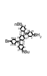 Bc1ccc(N(c2ccc(CCCC)cc2)c2ccc(N(c3ccc(Br)cc3)c3ccc(CCCC)cc3)cc2)cc1